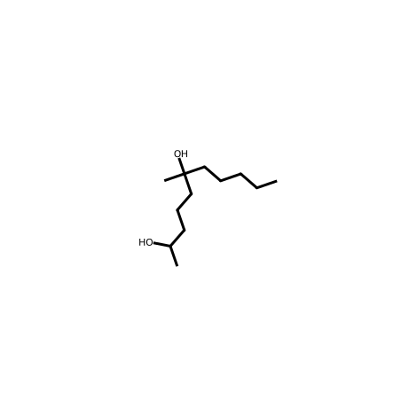 CCCCCC(C)(O)CCCC(C)O